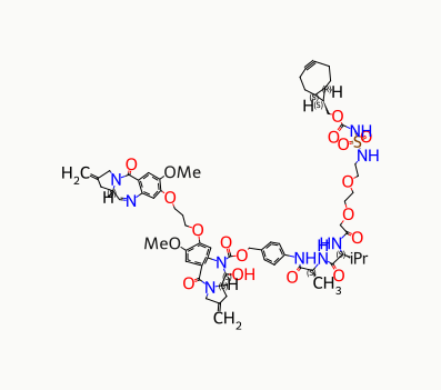 C=C1C[C@H]2C=Nc3cc(OCCCOc4cc5c(cc4OC)C(=O)N4CC(=C)C[C@H]4[C@H](O)N5C(=O)OCc4ccc(NC(=O)[C@H](C)NC(=O)[C@@H](NC(=O)COCCOCCNS(=O)(=O)NC(=O)OC[C@@H]5[C@@H]6CCC#CCC[C@@H]65)C(C)C)cc4)c(OC)cc3C(=O)N2C1